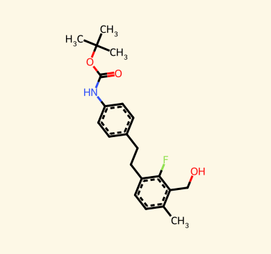 Cc1ccc(CCc2ccc(NC(=O)OC(C)(C)C)cc2)c(F)c1CO